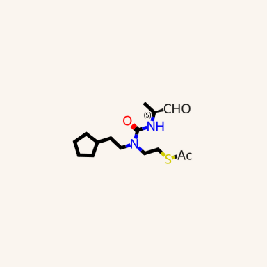 CC(=O)SCCN(CCC1CCCC1)C(=O)N[C@@H](C)C=O